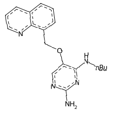 CCCCNc1nc(N)ncc1OCc1cccc2cccnc12